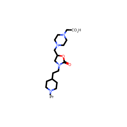 CC(C)N1CCC(CCN2CC(CN3CCN(CC(=O)O)CC3)OC2=O)CC1